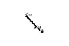 CCCCCCCCCC/C=C/C=C/CCCCCCCCC(=O)NCCCn1ccnc1